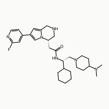 CN(C)C1CCN(C[C@@H](NC(=O)C[C@H]2CNCc3cc(-c4ccnc(F)c4)cn32)C2CCCCC2)CC1